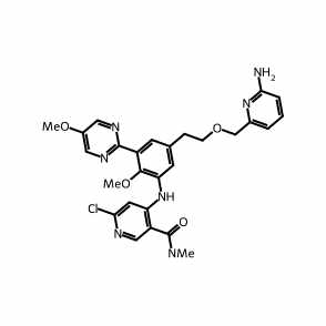 CNC(=O)c1cnc(Cl)cc1Nc1cc(CCOCc2cccc(N)n2)cc(-c2ncc(OC)cn2)c1OC